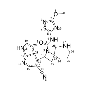 COc1nsc(NC(=O)N2C(c3c(C#N)cnc4[nH]ccc34)CC23CCCNC3)n1